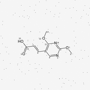 COc1ncc(C=CC(=O)O)c(OC)n1